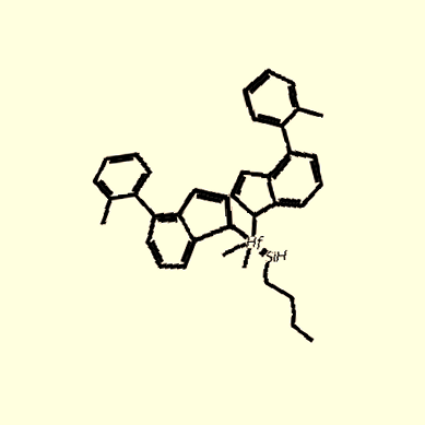 CCCC[SiH]=[Hf]([CH3])([CH3])([CH]1C=Cc2c(-c3ccccc3C)cccc21)[CH]1C=Cc2c(-c3ccccc3C)cccc21